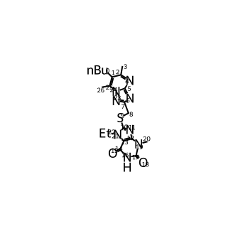 CCCCc1c(C)nc2nc(CSc3nc4c(c(=O)[nH]c(=O)n4C)n3CC)nn2c1C